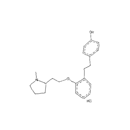 CN1CCCC1CCOc1ccccc1CCc1ccc(O)cc1.Cl